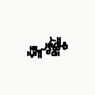 CC(C)C[C@H](NC(=O)c1cccs1)C(=O)N[C@H](C=O)CCCNC(=N)N.Cl